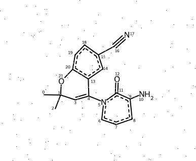 CC1(C)C=C(n2cccc(N)c2=O)c2cc(C#N)ccc2O1